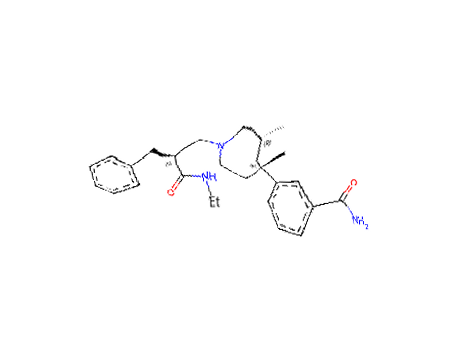 CCNC(=O)[C@@H](Cc1ccccc1)CN1CC[C@@](C)(c2cccc(C(N)=O)c2)[C@@H](C)C1